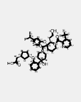 CCC[C@H]1N(C(=O)c2ncccc2C(F)(F)F)CCC[C@@]1(Oc1csc(C(F)F)c1)C(=O)N1CCC(O)(c2ccccc2O[C@H]2CC[C@H](CC(=O)O)C2)CC1